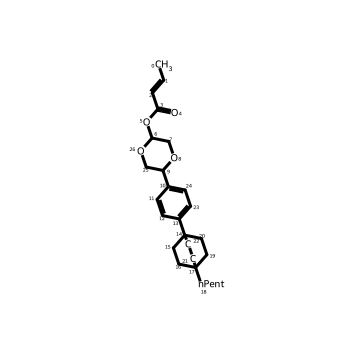 C/C=C/C(=O)OC1COC(c2ccc(C34CCC(CCCCC)(CC3)CC4)cc2)CO1